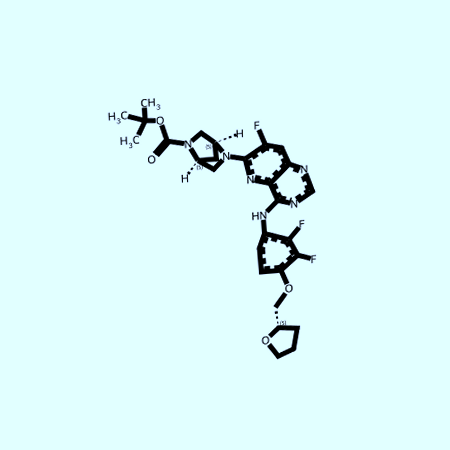 CC(C)(C)OC(=O)N1C[C@@H]2C[C@H]1CN2c1nc2c(Nc3ccc(OC[C@@H]4CCCO4)c(F)c3F)ncnc2cc1F